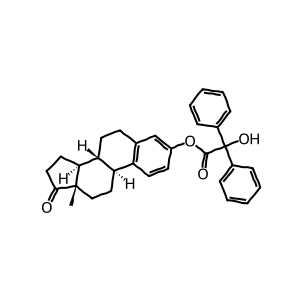 C[C@]12CC[C@@H]3c4ccc(OC(=O)C(O)(c5ccccc5)c5ccccc5)cc4CC[C@H]3[C@@H]1CCC2=O